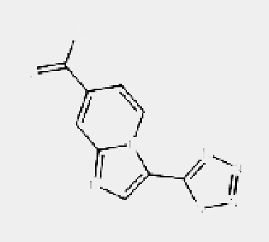 O=C(O)c1ccn2c(-c3nnn[nH]3)cnc2c1